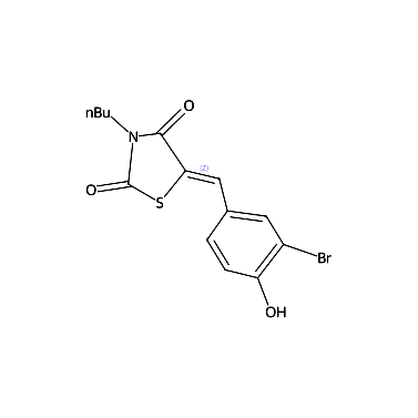 CCCCN1C(=O)S/C(=C\c2ccc(O)c(Br)c2)C1=O